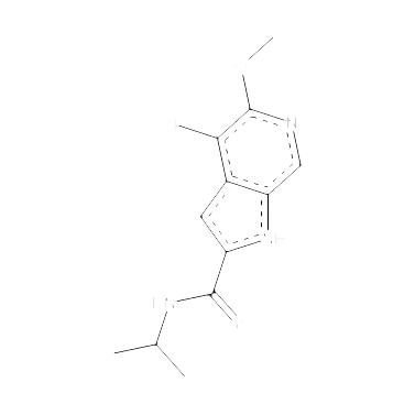 COc1ncc2[nH]c(C(=O)NC(C)C)cc2c1Cl